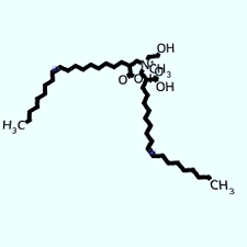 CCCCCCCC/C=C\CCCCCCCCC(C[N+](C)(CCO)CC(CCCCCCCC/C=C\CCCCCCCC)C(=O)O)C(=O)O